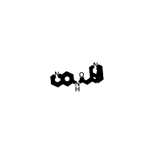 O=C(C=C1C2CC3CC1CN(C3)C2)Nc1ccc2ncccc2c1